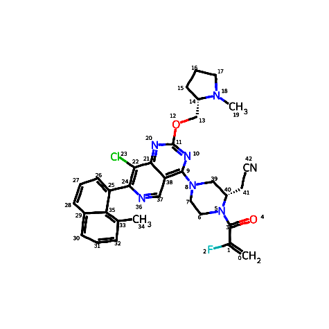 C=C(F)C(=O)N1CCN(c2nc(OC[C@@H]3CCCN3C)nc3c(Cl)c(-c4cccc5cccc(C)c45)ncc23)C[C@@H]1CC#N